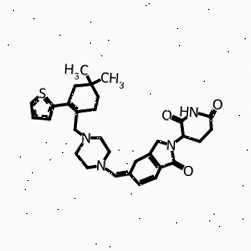 CC1(C)CCC(CN2CCN(C=C3C=CC4=C(C3)CN(C3CCC(=O)NC3=O)C4=O)CC2)=C(c2cccs2)C1